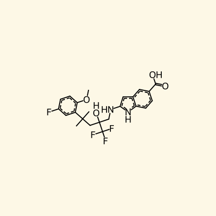 COc1ccc(F)cc1C(C)(C)CC(O)(CNc1cc2cc(C(=O)O)ccc2[nH]1)C(F)(F)F